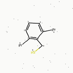 CC(C)c1cccc(C(C)C)c1CS